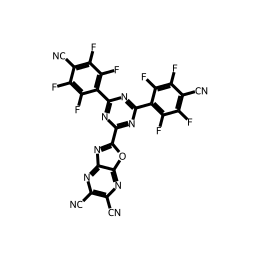 N#Cc1nc2nc(-c3nc(-c4c(F)c(F)c(C#N)c(F)c4F)nc(-c4c(F)c(F)c(C#N)c(F)c4F)n3)oc2nc1C#N